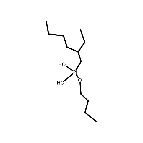 CCCCO[PH](O)(O)CC(CC)CCCC